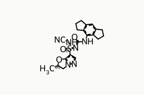 C[C@@H]1Cn2ncc([S@](=O)(=NC(=O)Nc3c4c(cc5c3CCC5)CCC4)NC#N)c2O1